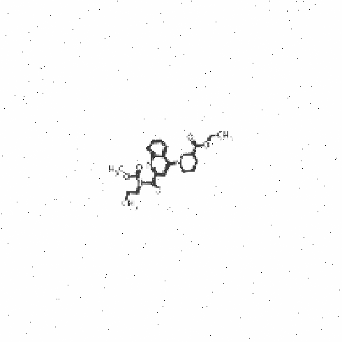 CCCN(C(=O)OC)C(=O)c1cc(N2CCCC(C(=O)OCC)C2)c2ccccc2n1